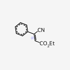 CCOC(=O)/C=C(\C#N)c1ccccc1